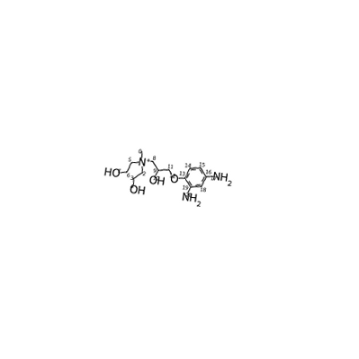 C[N+](CCO)(CCO)CC(O)COc1ccc(N)cc1N